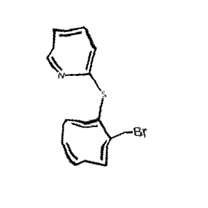 Brc1ccccc1Sc1ccccn1